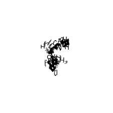 Cc1ncc(-c2c(C(F)F)ccc(Cl)c2F)nc1C(=O)Nc1cnn(C(C)c2cnc(N3C[C@H]4CC[C@H]4C3=O)c(F)c2C)c1